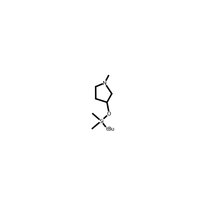 CN1CCC(O[Si](C)(C)C(C)(C)C)C1